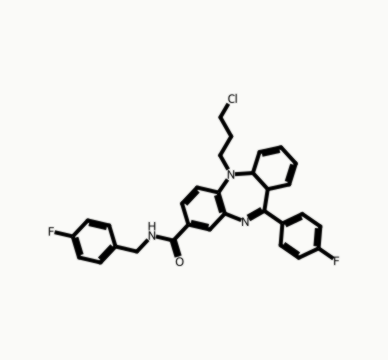 O=C(NCc1ccc(F)cc1)c1ccc2c(c1)N=C(c1ccc(F)cc1)C1C=CC=CC1N2CCCCl